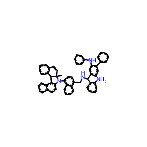 CC12C=Cc3ccccc3C1c1c(ccc3ccccc13)N2c1ccc(CNC(c2ccc(-c3ccccc3)c(Nc3ccccc3)c2)c2ccccc2N)c2ccccc12